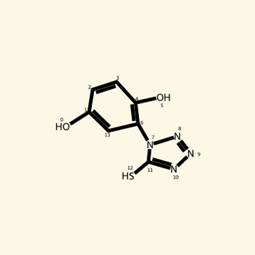 Oc1ccc(O)c(-n2nnnc2S)c1